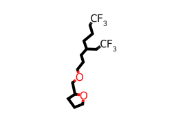 FC(F)(F)CCCC(CCCOCC1CCCO1)CC(F)(F)F